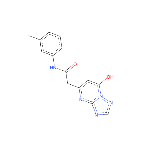 Cc1cccc(NC(=O)Cc2cc(O)n3ncnc3n2)c1